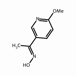 COc1ccc(C(C)=NO)cn1